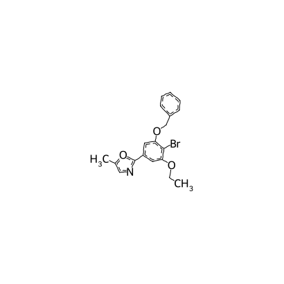 CCOc1cc(-c2ncc(C)o2)cc(OCc2ccccc2)c1Br